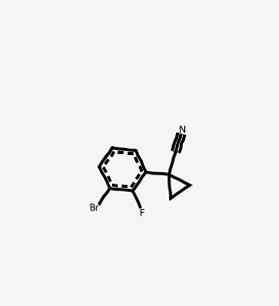 N#CC1(c2cccc(Br)c2F)CC1